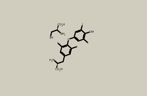 N[C@@H](CS)C(=O)O.N[C@@H](Cc1cc(I)c(Oc2cc(I)c(O)c(I)c2)c(I)c1)C(=O)O